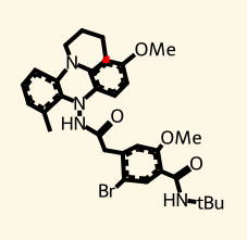 COc1ccc(N(NC(=O)Cc2cc(OC)c(C(=O)NC(C)(C)C)cc2Br)c2c(C)cccc2N2CCCCC2)cc1